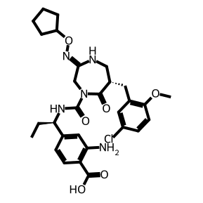 CC[C@@H](NC(=O)N1C/C(=N/OC2CCCC2)NC[C@H](Cc2cc(Cl)ccc2OC)C1=O)c1ccc(C(=O)O)c(N)c1